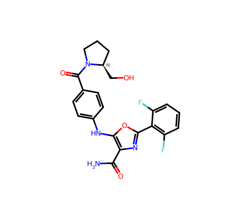 NC(=O)c1nc(-c2c(F)cccc2F)oc1Nc1ccc(C(=O)N2CCC[C@H]2CO)cc1